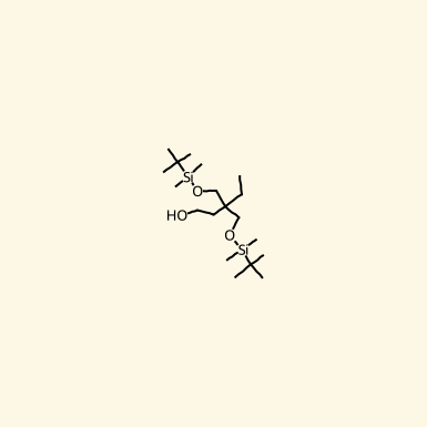 CCC(CCO)(CO[Si](C)(C)C(C)(C)C)CO[Si](C)(C)C(C)(C)C